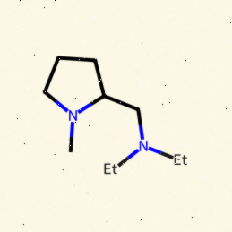 CCN(CC)CC1CCCN1C